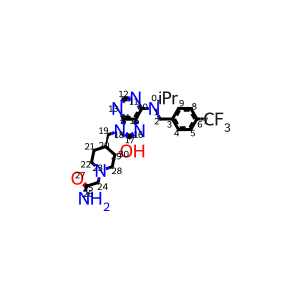 CC(C)N(Cc1ccc(C(F)(F)F)cc1)c1ncnc2c1ncn2C[C@@H]1CCN(CC(N)=O)C[C@H]1O